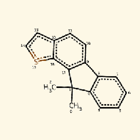 CC1(C)c2ccccc2-c2ccc3ccsc3c21